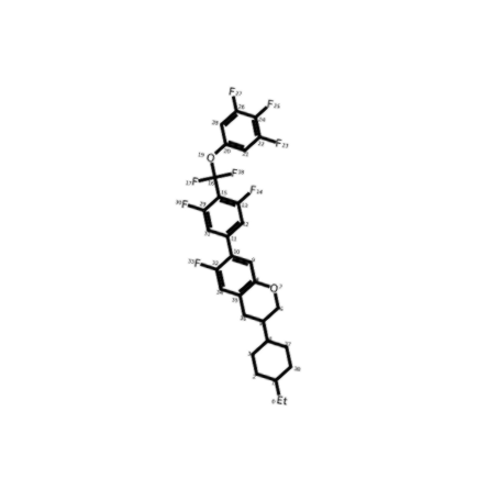 CCC1CCC(C2COc3cc(-c4cc(F)c(C(F)(F)Oc5cc(F)c(F)c(F)c5)c(F)c4)c(F)cc3C2)CC1